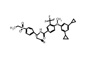 CCS(=O)(=O)c1ccc([C@H](CC#N)NC(=O)c2ccc(N(C)c3cc(C4CC4)cc(C4CC4)c3)c(C(F)(F)F)c2)cc1